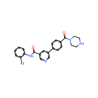 CCc1ccccc1NC(=O)c1cncc(-c2ccc(C(=O)N3CCNCC3)cc2)c1